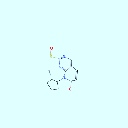 C[C@H]1CCCC1n1c(=O)ccc2cnc([S+]=O)nc21